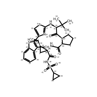 C=C[C@@H]1C[C@]1(NC(=O)[C@@H]1CCCN1C(=O)[C@@H](Nc1nc(-c2sc3ccccc3c2C)cs1)C(C)(C)C)C(=O)NS(=O)(=O)C1CC1